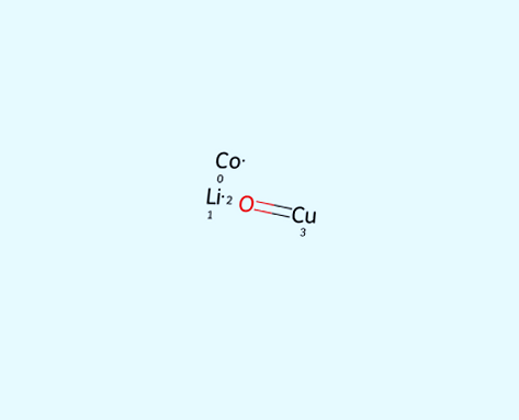 [Co].[Li].[O]=[Cu]